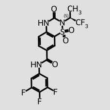 C[C@H](N1C(=O)Nc2ccc(C(=O)Nc3cc(F)c(F)c(F)c3)cc2S1(=O)=O)C(F)(F)F